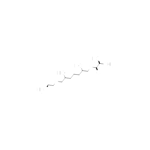 C=CCOCC(O)CCCC(O)COC(=O)C(=C)C